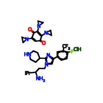 CC(C)C(N)CCn1cc(-c2ccc(F)c(C(F)(F)F)c2)nc1C1CCNCC1.Cl.O=C1C=C(N2CC2)C(=O)C(N2CC2)=C1N1CC1